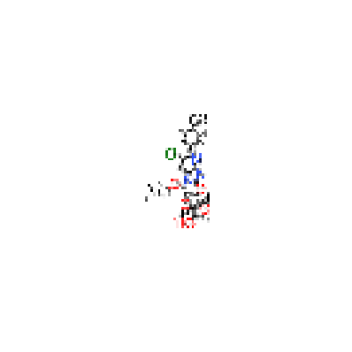 C[Si](C)(C)CCOCn1c(O[C@@H]2CO[C@H]3[C@@H]2OC[C@H]3O)nc2nc(-c3ccc(C#N)cc3)c(Cl)cc21